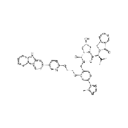 Cc1ncsc1-c1ccc(CNC(=O)[C@@H]2C[C@@H](O)CN2C(=O)[C@H](C(C)C)N2Cc3ccccc3C2=O)c(OCCOc2ccc(-c3ccc4c(c3)[nH]c3ccncc34)cn2)c1